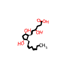 CC/C=C\C/C=C\C[C@@H]1[C@H](/C=C/C(O)CCC(=O)O)[C@@H](O)C[C@H]1O